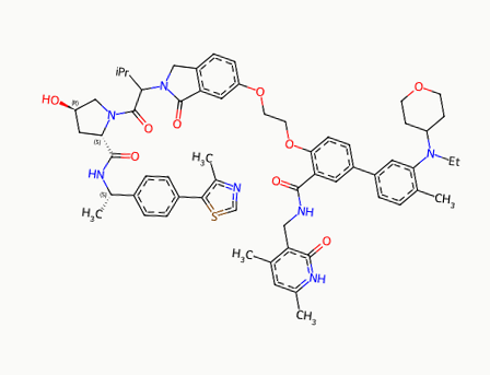 CCN(c1cc(-c2ccc(OCCOc3ccc4c(c3)C(=O)N(C(C(=O)N3C[C@H](O)C[C@H]3C(=O)N[C@@H](C)c3ccc(-c5scnc5C)cc3)C(C)C)C4)c(C(=O)NCc3c(C)cc(C)[nH]c3=O)c2)ccc1C)C1CCOCC1